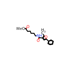 COC(=O)CCCCCNC(=O)c1cc(-c2ccccc2)oc1C